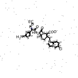 CCO/N=C(\C(=O)N[C@@H]1C(=O)N2C(C(=O)[O-])=C(Cn3cc[n+]4cc(Cl)ccc34)CS[C@@H]12)c1csc(N)n1